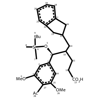 COc1cc([C@@H](O[Si](C)(C)C(C)(C)C)C(CCC(=O)O)CC2Cc3ccccc3C2)cc(OC)c1C(C)=O